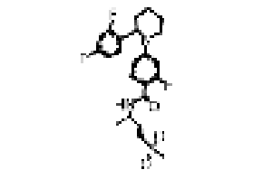 C[C@H](/C=C/S(C)(=O)=O)NC(=O)c1ccc(N2CCCCC2c2ccc(F)cc2F)cc1F